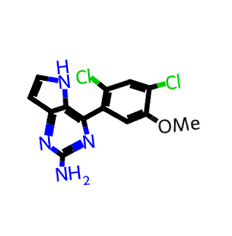 COc1cc(-c2nc(N)nc3cc[nH]c23)c(Cl)cc1Cl